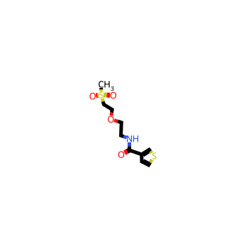 CS(=O)(=O)CCOCCNC(=O)c1ccsc1